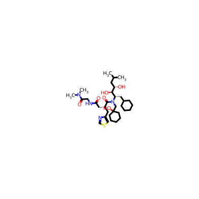 CC(C)C[C@H](O)[C@H](O)[C@H](CC1CCCCC1)N(CC1(O)CCCCC1)C(=O)[C@@H](CC(=O)NCC(=O)N(C)C)Cc1cscn1